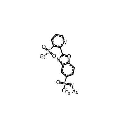 CCS(=O)(=O)c1cccnc1-c1nc2cc(S(=O)(=NC(C)=O)C(F)(F)F)ccc2o1